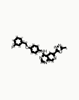 Cc1nnc(-c2cc3c(Nc4ccc(OCc5cccc(F)c5)cc4)ncnc3cn2)o1